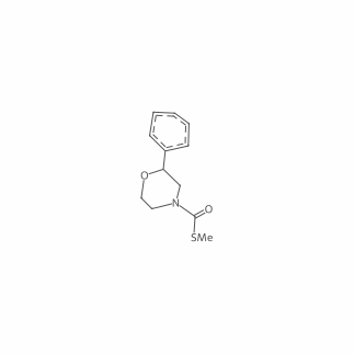 CSC(=O)N1CCOC(c2ccccc2)C1